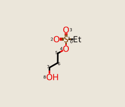 CCS(=O)(=O)OCCCO